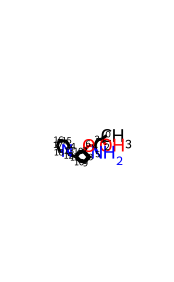 CC(O)CC(N)Oc1cccc(CN2CCCCC2)c1